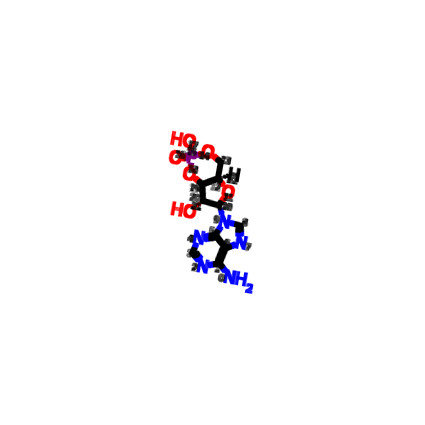 Nc1ncnc2c1ncn2[C@@H]1O[C@@H]2COP(=O)(O)OC2[C@H]1O